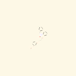 CCC(=O)Oc1cccc(OCCC2Oc3ccccc3N(Cc3cccc(Cl)c3)C2=O)c1